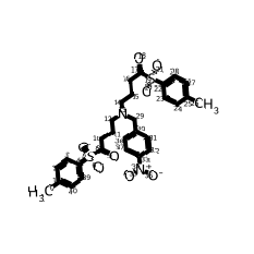 Cc1ccc(S(=O)(=O)C(=O)CCCN(CCCC(=O)S(=O)(=O)c2ccc(C)cc2)Cc2ccc([N+](=O)[O-])cc2)cc1